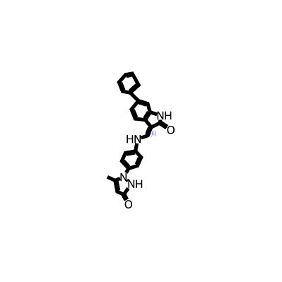 Cc1cc(=O)[nH]n1-c1ccc(N/C=C2/C(=O)Nc3cc(-c4ccccc4)ccc32)cc1